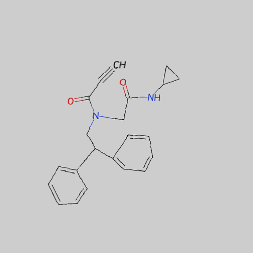 C#CC(=O)N(CC(=O)NC1CC1)CC(c1ccccc1)c1ccccc1